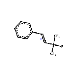 FC(F)(F)C(F)(/C=C/c1ccccc1)C(F)(F)F